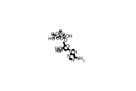 Nc1ncnc2c1ncn2C1CC(O)C(COP(=O)(O)OP(=O)([O-])OP(=O)([O-])O)O1.[Na+].[Na+]